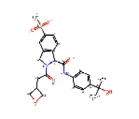 CS(=O)(=O)c1ccc2c(c1)CN(C(=O)CC1COC1)C2C(=O)Nc1ccc(C(O)(C(F)(F)F)C(F)(F)F)cc1